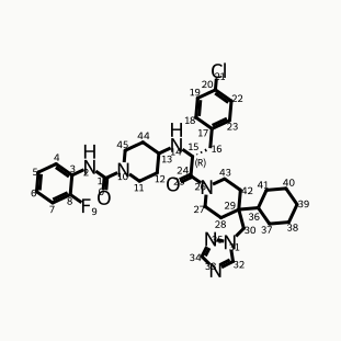 O=C(Nc1ccccc1F)N1CCC(N[C@H](Cc2ccc(Cl)cc2)C(=O)N2CCC(Cn3cncn3)(C3CCCCC3)CC2)CC1